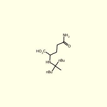 CCCCC(C)(CCCC)NC(CCC(N)=O)C(=O)O